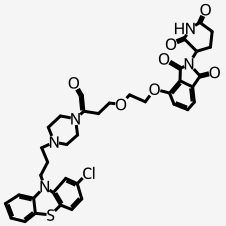 O=C=C(CCOCCOc1cccc2c1C(=O)N(C1CCC(=O)NC1=O)C2=O)N1CCN(CCCN2c3ccccc3Sc3ccc(Cl)cc32)CC1